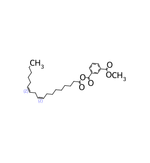 CCCCC/C=C\C/C=C\CCCCCCCC(=O)OC(=O)c1cccc(C(=O)OC)c1